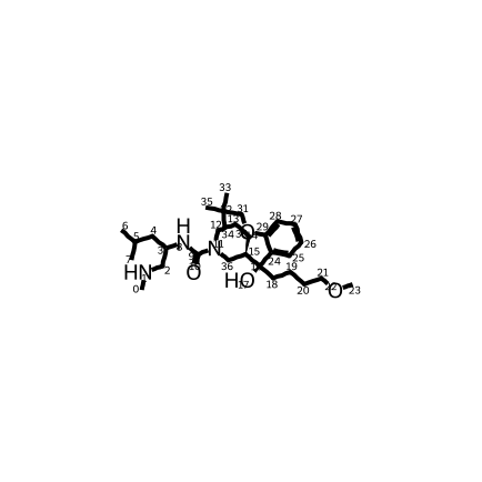 CNCC(CC(C)C)NC(=O)N1CCC[C@@H]([C@@](O)(CCCCOC)c2ccccc2OCC(C)(C)C)C1